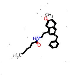 CCCCCC(=O)NCCc1cc(Cc2ccccc2)cc2ccc(OC)cc12